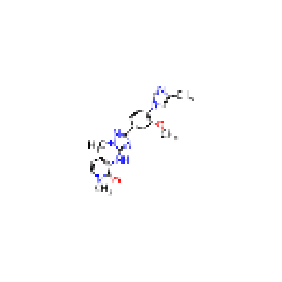 COc1cc(-c2nc(Nc3cccn(C)c3=O)n(C)n2)ccc1-n1cnc(C)c1